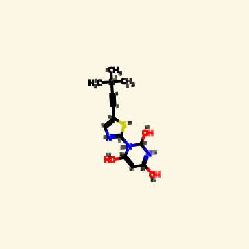 C[Si](C)(C)C#Cc1cnc(N2C(O)=CC(O)=NC2O)s1